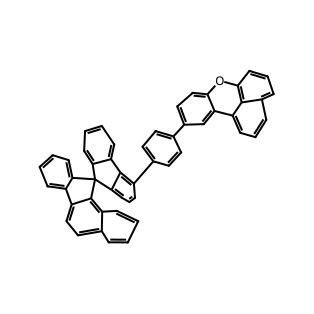 c1ccc2c(c1)-c1ccc3ccccc3c1C21c2ccccc2-c2c(-c3ccc(-c4ccc5c(c4)-c4cccc6cccc(c46)O5)cc3)cccc21